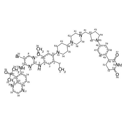 CCc1cc(Nc2ncc(Br)c(Nc3ccc4nccnc4c3P(C)(C)=O)n2)c(OC)cc1N1CCC(N2CCN(CC3CCN(c4ccc(C5CCC(=O)NC5=O)cc4)C3)CC2)CC1